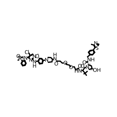 COc1cc(N2CCC(NC(=O)CCOCCOCCC(=O)NC(C(=O)N3C[C@H](O)C[C@H]3C(=O)NCc3ccc(-c4scnc4C)cc3)C(C)(C)C)CC2)ccc1Nc1ncc(Cl)c(Nc2ccccc2P(C)(C)=O)n1